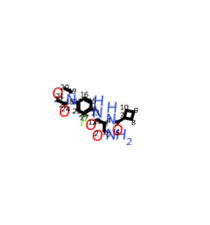 NC(=O)[C@@H](NC(=O)C1CCC1)C(=O)Nc1ccc(N2CCOCC2=O)cc1F